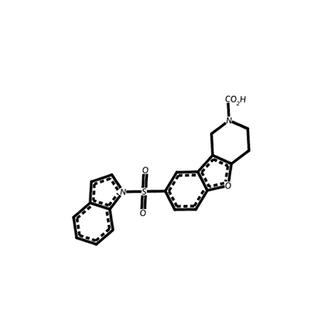 O=C(O)N1CCc2oc3ccc(S(=O)(=O)n4ccc5ccccc54)cc3c2C1